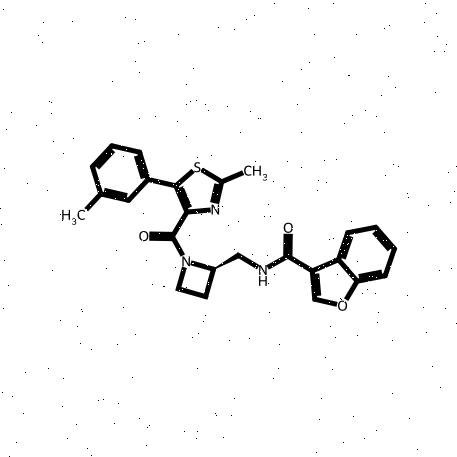 Cc1cccc(-c2sc(C)nc2C(=O)N2CC[C@@H]2CNC(=O)c2coc3ccccc23)c1